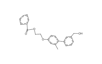 Cc1cc(OCCOC(=O)c2ccccc2)ccc1-c1cccc(CO)c1